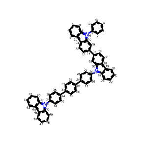 c1ccc(-n2c3ccccc3c3ccc(-c4ccc5c6ccccc6n(-c6ccc(-c7ccc(-c8ccc(-n9c%10ccccc%10c%10ccccc%109)cc8)cc7)cc6)c5c4)cc32)cc1